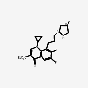 CCOC(=O)c1cn(C2CC2)c2c(CCC[C@@H]3C[C@@H](C)CN3)c(F)c(F)cc2c1=O